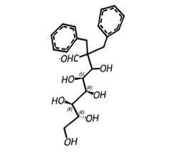 O=[C]C(Cc1ccccc1)(Cc1ccccc1)C(O)[C@H](O)[C@@H](O)[C@H](O)[C@H](O)CO